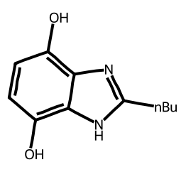 CCCCc1nc2c(O)ccc(O)c2[nH]1